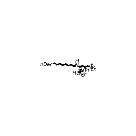 CCCCCCCCCCCCCCCCCCNCCC(C[N+](CC)(CC)CC)OP(=O)([O-])O